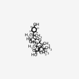 CN[C@H](C(=O)N[C@H](C(=O)N(C)[C@H](/C=C(\C)C(=O)O)C(C)C)C(C)(C)C)C(C)(C)c1ccc(O)cc1